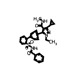 CCn1nc(C2CC2)c(C(=O)NC)c1-c1ccc(-c2ccccc2S(=O)(=O)NC(=O)c2ccccc2)cc1